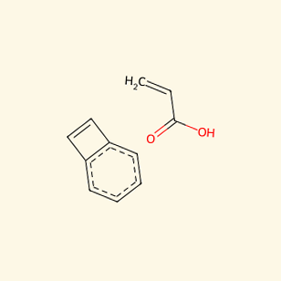 C1=Cc2ccccc21.C=CC(=O)O